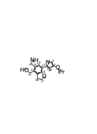 CC(C)Oc1cnc(-c2cc(CN)c(CO)c3c2OCC3)s1